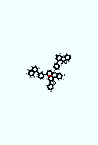 CC1(C)c2ccccc2-c2cccc(-c3ccc(N(c4ccc(-c5cccc(-c6cccc7ccccc67)c5)cc4)c4ccccc4-c4cccc5c4oc4ccccc45)cc3)c21